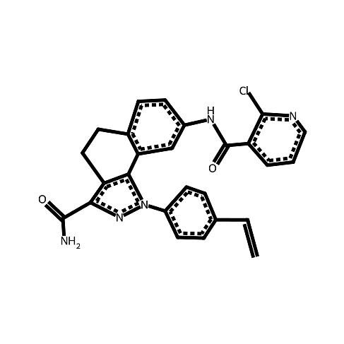 C=Cc1ccc(-n2nc(C(N)=O)c3c2-c2cc(NC(=O)c4cccnc4Cl)ccc2CC3)cc1